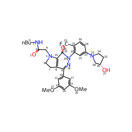 CCCCNC(=O)CN1CCc2c(-c3cc(OC)cc(OC)c3)nn(-c3cc(N4CC[C@H](O)C4)ccc3C(F)(F)F)c(=O)c21